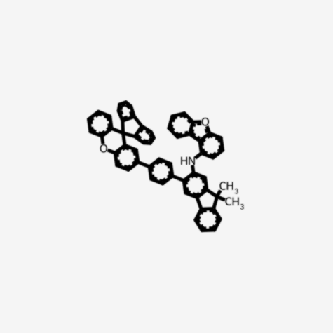 CC1(C)c2ccccc2-c2cc(-c3ccc(-c4ccc5c(c4)C4(c6ccccc6O5)c5ccccc5-c5ccccc54)cc3)c(Nc3cccc4oc5ccccc5c34)cc21